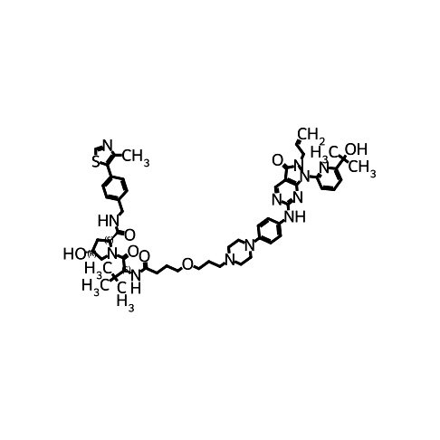 C=CCn1c(=O)c2cnc(Nc3ccc(N4CCN(CCCOCCCC(=O)N[C@H](C(=O)N5C[C@H](O)C[C@H]5C(=O)NCc5ccc(-c6scnc6C)cc5)C(C)(C)C)CC4)cc3)nc2n1-c1cccc(C(C)(C)O)n1